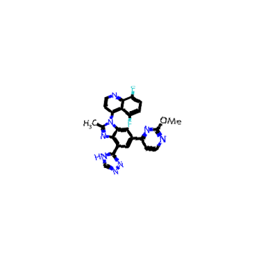 COc1nccc(-c2cc(-c3nnc[nH]3)c3nc(C)n(-c4ccnc5c(F)ccc(F)c45)c3c2)n1